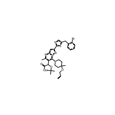 C=CCOC1(C)CCN(c2c(C(OC(C)(C)C)C(=O)O)c(C)nc3cc(-c4ncc(Cc5ccccc5Br)s4)nn23)CC1